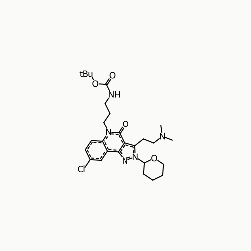 CN(C)CCc1c2c(=O)n(CCCNC(=O)OC(C)(C)C)c3ccc(Cl)cc3c2nn1C1CCCCO1